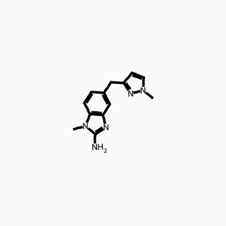 Cn1ccc(Cc2ccc3c(c2)nc(N)n3C)n1